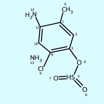 Cc1cc(O[SH](=O)=O)c(Cl)cc1N.N